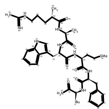 CC[C@H](C)[C@H](NC(=O)[C@H](Cc1ccccc1)NC(=O)[C@H](CCSC)NC(=O)[C@H](Cc1c[nH]c2ccccc12)NC(=O)[C@H](C)NC(=O)[C@@H](C)CCCNC(=N)N)C(N)=O